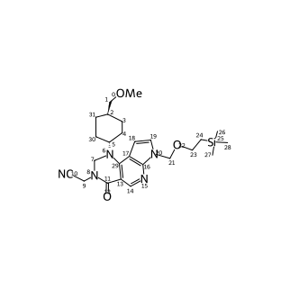 COC[C@H]1CC[C@H](N2CN(CC#N)C(=O)c3cnc4c(ccn4COCC[Si](C)(C)C)c32)CC1